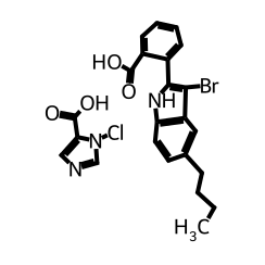 CCCCc1ccc2[nH]c(-c3ccccc3C(=O)O)c(Br)c2c1.O=C(O)c1cncn1Cl